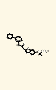 CC(C)(Oc1ccc2cc(CC(=O)Nc3cccc(-c4ccccc4)c3)oc2c1)C(=O)O